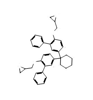 c1ccc(-c2cc(C3(c4ccc(OCC5CO5)c(-c5ccccc5)c4)CCCCC3)ccc2OCC2CO2)cc1